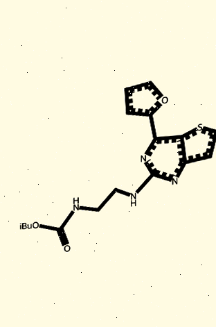 CC(C)COC(=O)NCCNc1nc(-c2ccco2)c2sccc2n1